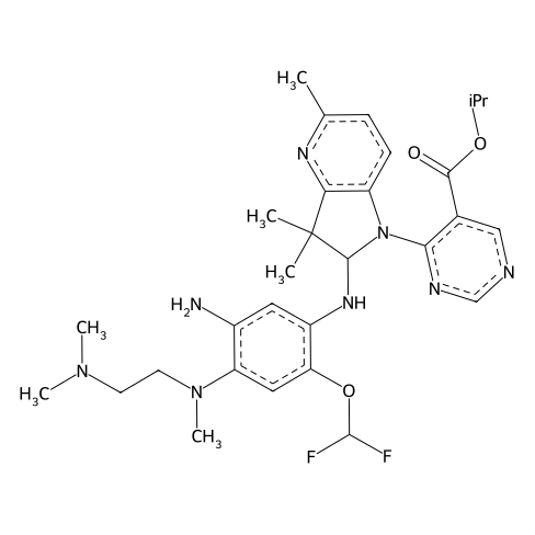 Cc1ccc2c(n1)C(C)(C)C(Nc1cc(N)c(N(C)CCN(C)C)cc1OC(F)F)N2c1ncncc1C(=O)OC(C)C